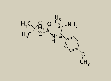 COc1ccc([C@H](NC(=O)OC(C)(C)C)[C@H](C)N)cc1